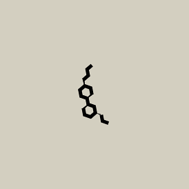 CCCC[C@H]1CC[C@@H]([C@@H]2CCC[C@@H](CCC)C2)CC1